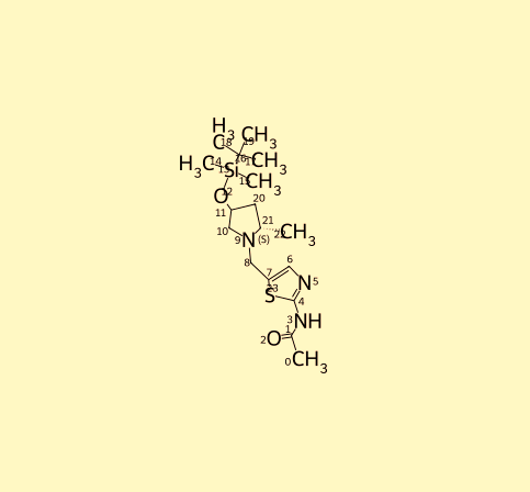 CC(=O)Nc1ncc(CN2CC(O[Si](C)(C)C(C)(C)C)C[C@@H]2C)s1